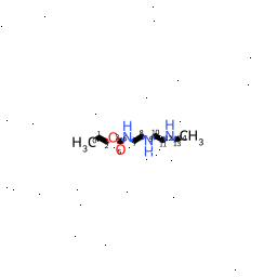 CCCOC(=O)NCCNCCNCC